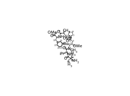 CCC(C)C(C(CC(=O)N1CCC[C@H]1C(OC)C(C)C(=O)NC(Cc1ccccc1)C(=O)OC)OC)N(C)C(=O)C(NC(=O)C(C)(C)N)C(C)C